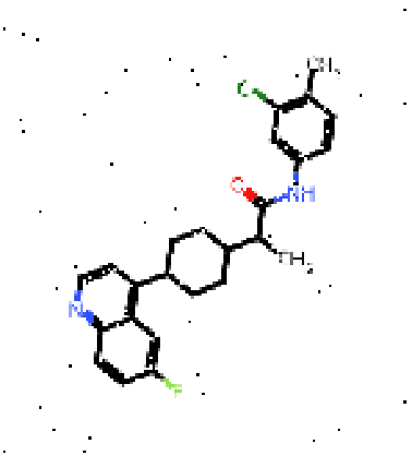 Cc1ccc(NC(=O)C(C)C2CCC(c3ccnc4ccc(F)cc34)CC2)cc1Cl